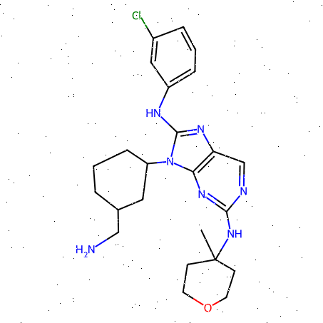 CC1(Nc2ncc3nc(Nc4cccc(Cl)c4)n(C4CCCC(CN)C4)c3n2)CCOCC1